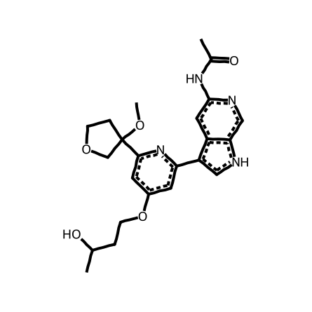 COC1(c2cc(OCCC(C)O)cc(-c3c[nH]c4cnc(NC(C)=O)cc34)n2)CCOC1